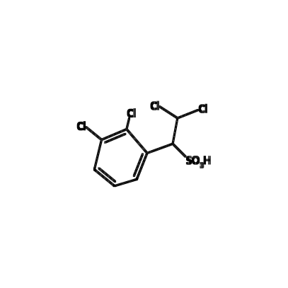 O=S(=O)(O)C(c1cccc(Cl)c1Cl)C(Cl)Cl